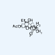 CC[C@@H]1C2C[C@H](OC(C)=O)CC[C@]2(C)C2CC[C@@]3(C)C(CC[C@@H]3[C@H](C)C(C)CCOI)C2[C@@H]1O